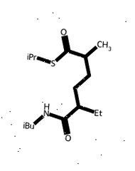 CCC(C)NC(=O)C(CC)CCC(C)C(=O)SC(C)C